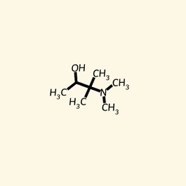 CC(O)C(C)(C)N(C)C